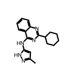 Cc1cc(Nc2nc(C3CCCCC3)nc3ccccc23)[nH]n1